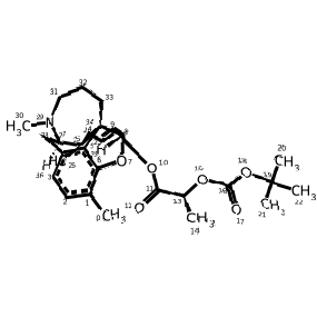 Cc1ccc2c3c1O[C@H]1C(OC(=O)[C@H](C)OC(=O)OC(C)(C)C)=CC[C@@]4(O)[C@@H](C2)N(C)CCC[C@]314